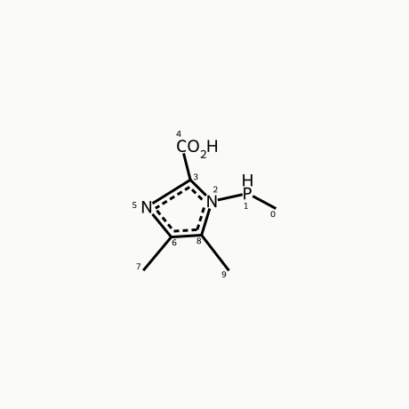 CPn1c(C(=O)O)nc(C)c1C